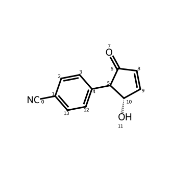 N#Cc1ccc(C2C(=O)C=C[C@@H]2O)cc1